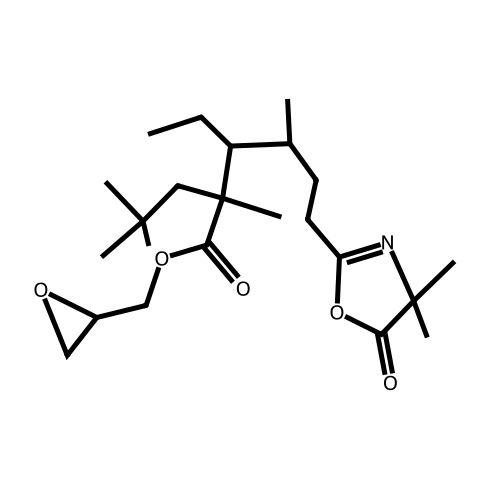 CCC(C(C)CCC1=NC(C)(C)C(=O)O1)C(C)(CC(C)(C)C)C(=O)OCC1CO1